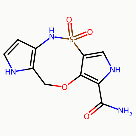 NC(=O)c1[nH]cc2c1OCc1[nH]ccc1NS2(=O)=O